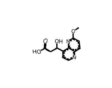 COc1ccc2nccc(C(O)CC(=O)O)c2n1